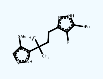 CSc1cn[nH]c1C(C)(C)CCc1n[nH]c(C(C)(C)C)c1F